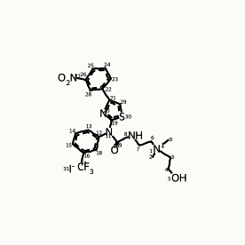 C[N+](C)(CCO)CCNC(=O)N(c1cccc(C(F)(F)F)c1)c1nc(-c2cccc([N+](=O)[O-])c2)cs1.[I-]